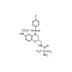 CC(C)(N)C(=O)NCC1CN(S(=O)(=O)c2ccc(F)cc2)c2cc(NC(=O)O)ccc2O1